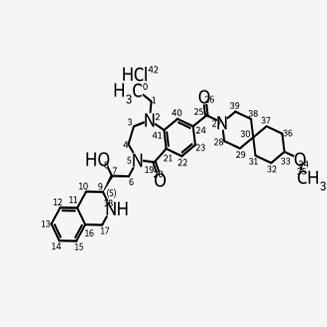 CCN1CCN(CC(O)[C@@H]2Cc3ccccc3CN2)C(=O)c2ccc(C(=O)N3CCC4(CCC(OC)CC4)CC3)cc21.Cl